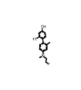 CCc1cc(O)ccc1-c1ccc(N(C)CCF)cc1C